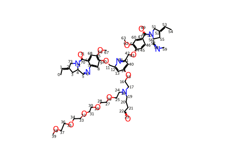 C/C=C1\CC2C=Nc3cc(OCc4cc(OCCN(CCCC=O)CCOCCOCCOCCOCCOC)cc(COc5ccc(C(=O)N6C/C(=C/C)C[C@H]6/C=N\C)cc5OC)n4)c(OC)cc3C(=O)N2C1